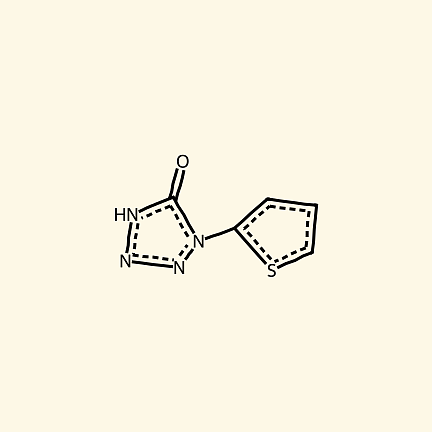 O=c1[nH]nnn1-c1cccs1